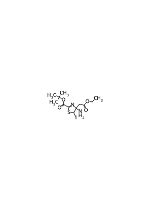 CCOC(=O)CC1(N)N=C(C(=O)OC(C)(C)C)SC1I